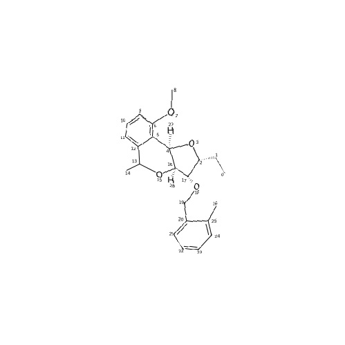 CC[C@H]1O[C@@H]2c3c(OC)cccc3C(C)O[C@@H]2[C@H]1OCc1ccccc1C